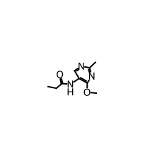 CCC(=O)Nc1cnc(C)nc1OC